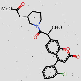 COC(=O)C[C@@H]1CCCN(C(=O)[C@@H](C=O)c2ccc3c(-c4ccccc4Cl)cc(=O)oc3c2)C1